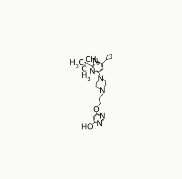 CC(C)(C)c1nc(C2CCC2)cc(N2CCN(CCCOc3cc(O)ncn3)CC2)n1